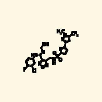 Cn1nc(-c2ccc(S(=O)(=O)NCc3nonc3/C(=N/CO)Nc3ccc(F)c(Cl)c3)s2)cc1C(F)(F)F